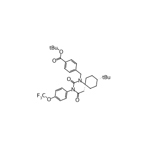 CC(C)(C)OC(=O)c1ccc(CN2C(=O)N(c3ccc(OC(F)(F)F)cc3)C(=O)C[C@]23CC[C@@H](C(C)(C)C)CC3)cc1